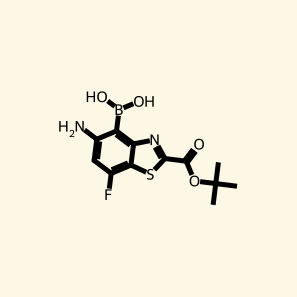 CC(C)(C)OC(=O)c1nc2c(B(O)O)c(N)cc(F)c2s1